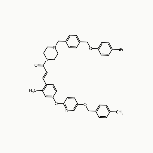 Cc1ccc(COc2ccc(Oc3ccc(C=CC(=O)N4CCN(Cc5ccc(COc6ccc(C(C)C)cc6)cc5)CC4)c(C)c3)nc2)cc1